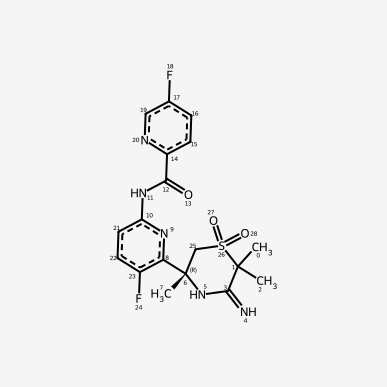 CC1(C)C(=N)N[C@](C)(c2nc(NC(=O)c3ccc(F)cn3)ccc2F)CS1(=O)=O